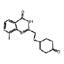 Cc1cccc2c(=O)[nH]c(CSC3CCC(=O)CC3)nc12